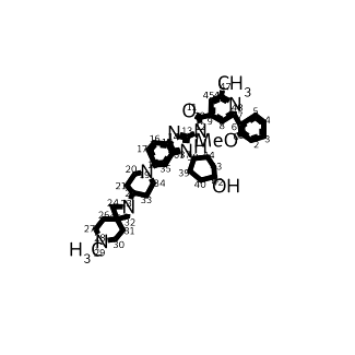 COc1ccccc1-c1cc(C(=O)Nc2nc3ccc(N4CCC(N5CC6(CCN(C)CC6)C5)CC4)cc3n2[C@H]2CC[C@@H](O)CC2)cc(C)n1